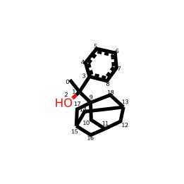 CC(O)(c1ccccc1)C12CC3CC(CC(C3)C1)C2